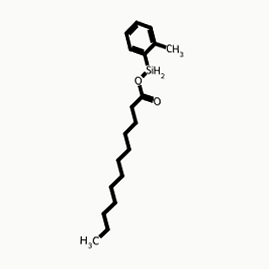 CCCCCCCCCCCC(=O)O[SiH2]c1ccccc1C